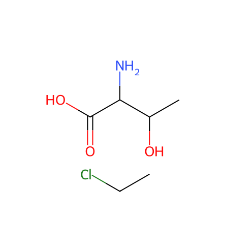 CC(O)C(N)C(=O)O.CCCl